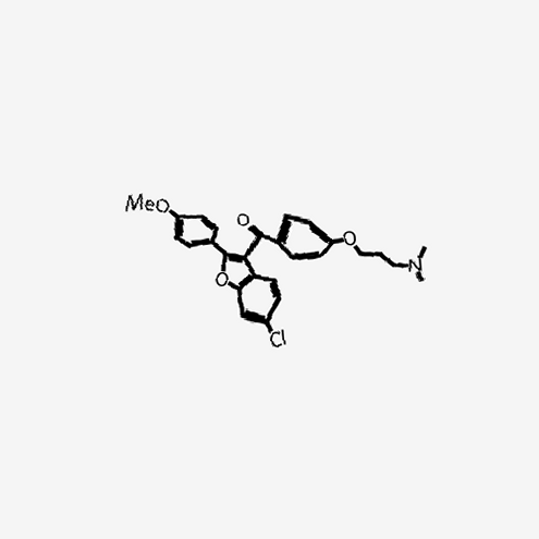 COc1ccc(-c2oc3cc(Cl)ccc3c2C(=O)c2ccc(OCCCN(C)C)cc2)cc1